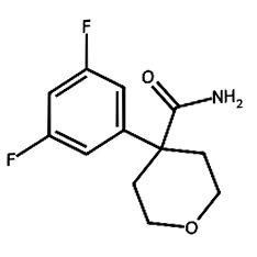 NC(=O)C1(c2cc(F)cc(F)c2)CCOCC1